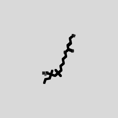 CCCC(C)(N)CC(C)(C)CCCCCOC(=O)/C=C/CBr